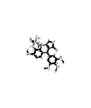 COc1cc(C2C3=C(COC3=O)Nc3c2ccc(OC)c3OP(=O)(O)O)cc(OC)c1OC